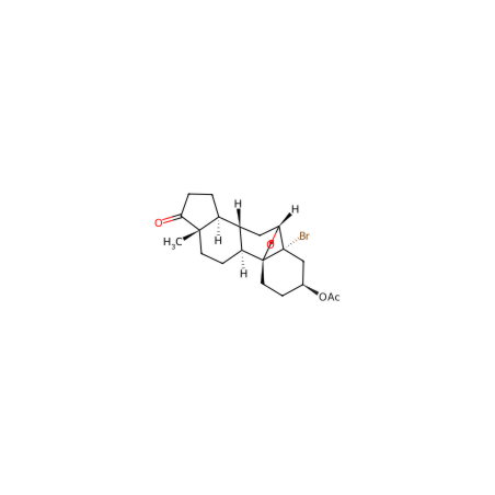 CC(=O)O[C@H]1CC[C@]23CO[C@H](C[C@@H]4[C@@H]2CC[C@]2(C)C(=O)CC[C@@H]42)[C@@]3(Br)C1